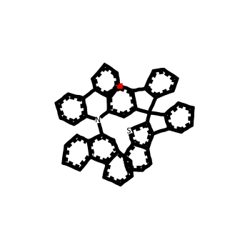 c1ccc(-c2ccccc2N(c2ccc3c(c2)C2(c4ccccc4-3)c3ccccc3-c3c2sc2ccccc32)c2cc3ccccc3c3ccccc23)cc1